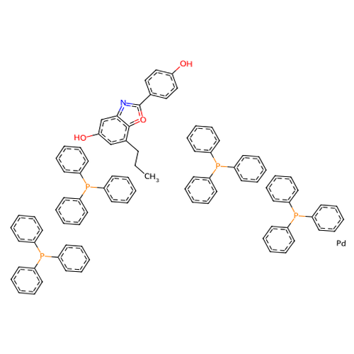 CCCc1cc(O)cc2nc(-c3ccc(O)cc3)oc12.[Pd].c1ccc(P(c2ccccc2)c2ccccc2)cc1.c1ccc(P(c2ccccc2)c2ccccc2)cc1.c1ccc(P(c2ccccc2)c2ccccc2)cc1.c1ccc(P(c2ccccc2)c2ccccc2)cc1